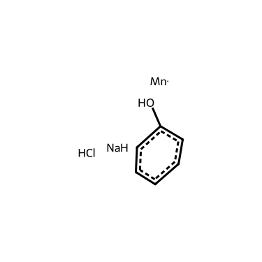 Cl.Oc1ccccc1.[Mn].[NaH]